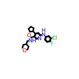 O=C(NCC1CCOCC1)c1cnc(Nc2ccc(F)c(Cl)c2)cc1C1CCCC1